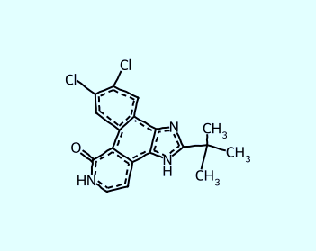 CC(C)(C)c1nc2c3cc(Cl)c(Cl)cc3c3c(=O)[nH]ccc3c2[nH]1